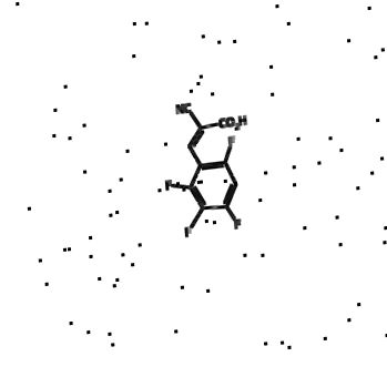 N#CC(=Cc1c(F)cc(F)c(F)c1F)C(=O)O